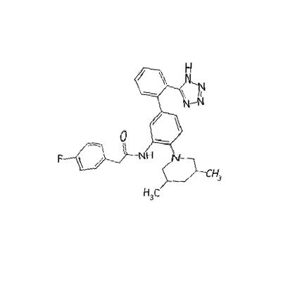 CC1CC(C)CN(c2ccc(-c3ccccc3-c3nnn[nH]3)cc2NC(=O)Cc2ccc(F)cc2)C1